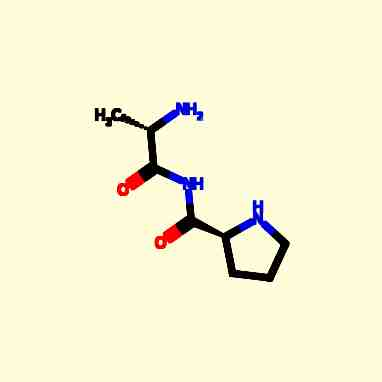 C[C@H](N)C(=O)NC(=O)[C@@H]1CCCN1